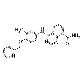 Cc1cc(Nc2ncnc3c(C(N)=O)cccc23)ccc1OCc1ccccn1